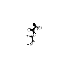 C=C(CC)C(=O)OC(=O)CS